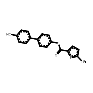 CCCc1ccc(C(=O)Oc2ccc(-c3ccc(C#N)cc3)cc2)s1